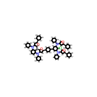 Clc1c(N(c2ccccc2)c2coc(-c3ccccc3)c2)cc(-c2ccc(-c3cc4c(o3)B3c5oc(-c6ccccc6)cc5N(c5ccccc5)c5cccc(c53)N4c3ccccc3)cc2)cc1N(c1ccccc1)c1coc(-c2ccccc2)c1